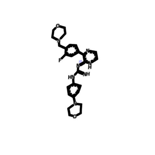 N=C(/N=c1\[nH]ccnc1-c1ccc(CN2CCOCC2)c(F)c1)Nc1ccc(N2CCOCC2)cc1